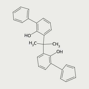 CC(C)(c1cccc(-c2ccccc2)c1O)c1cccc(-c2ccccc2)c1O